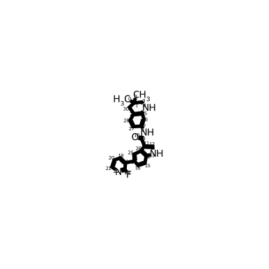 CC1(C)CNc2cc(NC(=O)c3c[nH]c4ccc(-c5cccnc5F)cc34)ccc2C1